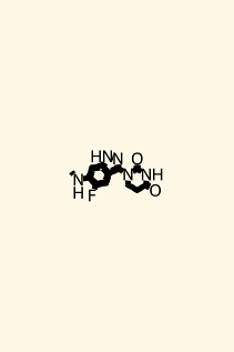 CNc1cc2[nH]nc(N3CCC(=O)NC3=O)c2cc1F